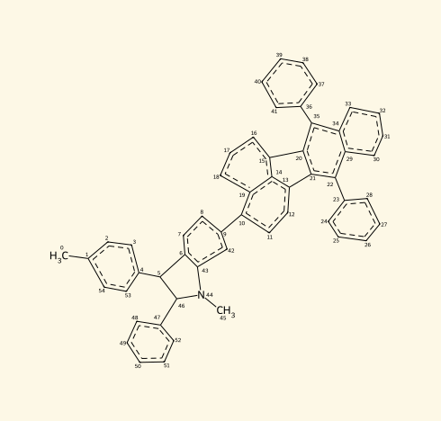 Cc1ccc(C2c3ccc(-c4ccc5c6c(cccc46)-c4c-5c(-c5ccccc5)c5ccccc5c4-c4ccccc4)cc3N(C)C2c2ccccc2)cc1